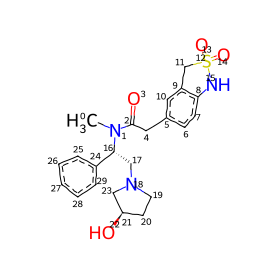 CN(C(=O)Cc1ccc2c(c1)CS(=O)(=O)N2)[C@H](CN1CC[C@@H](O)C1)c1ccccc1